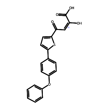 O=C(O)/C(O)=C\C(=O)c1ccc(-c2ccc(Oc3ccccc3)cc2)s1